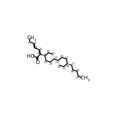 CCC=CC=C(C(=O)O)[C@H]1CC[C@H]([C@H]2CC[C@H](CCCCC)CC2)CC1